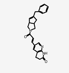 O=C1CCc2cc(/C=C/C(=O)N3CC4C=C(Cc5ccccc5)CC4C3)cnc2N1